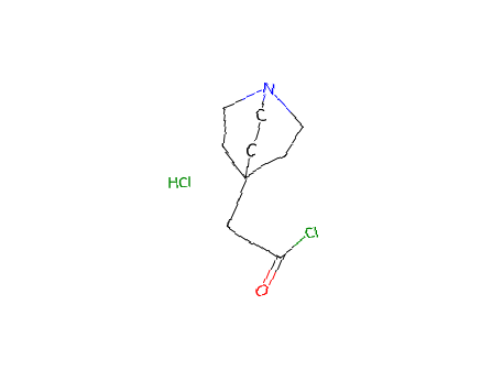 Cl.O=C(Cl)CC12CCN(CC1)CC2